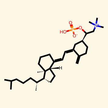 C=C1CC[C@H](C(C[N+](C)(C)C)OP(=O)([O-])O)C/C1=C/C=C1\CCC[C@]2(C)[C@@H]([C@H](C)CCCC(C)C)CC[C@@H]12